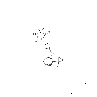 CC1(C)NC(=O)N([C@H]2C[C@H](Oc3cccc4c3C3(CC3)CO4)C2)C1=O